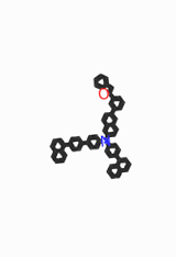 c1cc(-c2ccc3cc(N(c4ccc(-c5ccc(-c6cccc7ccccc67)cc5)cc4)c4ccc(-c5cccc6ccccc56)cc4)ccc3c2)cc(-c2cc3ccccc3o2)c1